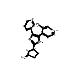 N#CC1CCC(c2nc3c([nH]2)-c2ccncc2Nc2ncccc2-3)C1